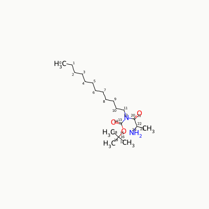 CCCCCCCCCCCCN(C(=O)OC(C)(C)C)C(=O)C(C)N